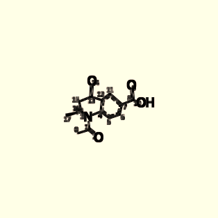 CC(=O)N1c2ccc(C(=O)O)cc2C(=O)C[C@@H]1C